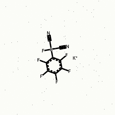 N#C[B-](F)(C#N)c1c(F)c(F)c(F)c(F)c1F.[K+]